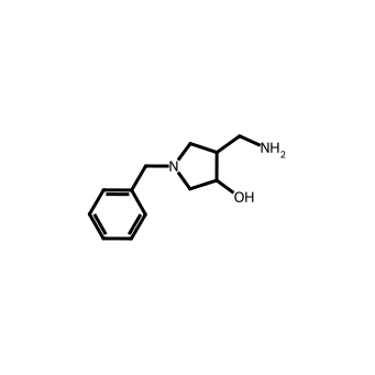 NCC1CN(Cc2ccccc2)CC1O